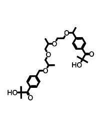 CC(COCC(C)OCc1ccc(C(=O)C(C)(C)O)cc1)OCCOC(C)c1ccc(C(=O)C(C)(C)O)cc1